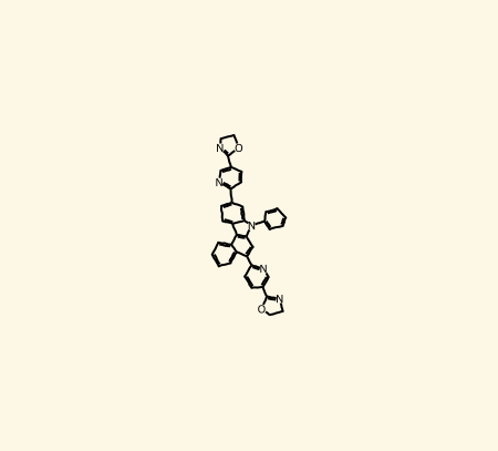 c1ccc(-n2c3cc(-c4ccc(C5=NCCO5)cn4)ccc3c3c4ccccc4c(-c4ccc(C5=NCCO5)cn4)cc32)cc1